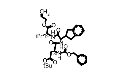 C=CCOC(=O)[C@@H](NC(=O)C(NC(=O)[C@H](CC(=O)OC(C)(C)C)NC(=O)OCc1ccccc1)C1Cc2ccccc2C1)C(C)C